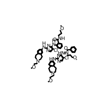 COCCCN(Nc1nc(Nc2ccc3c(c2)CCN(CCOC)CC3)ncc1Cl)C(=O)c1ccccc1.COCCCNC(=O)c1ccccc1Nc1nc(Nc2ccc3c(c2)CCN(CCOC)CC3)ncc1Cl